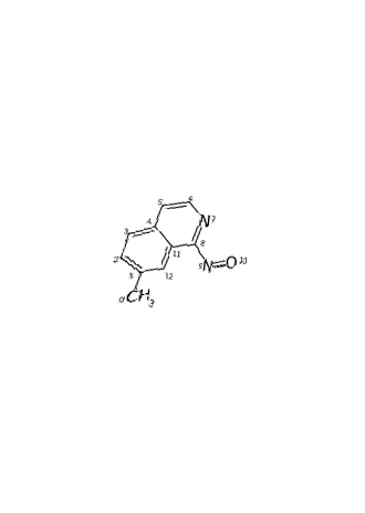 Cc1ccc2ccnc(N=O)c2c1